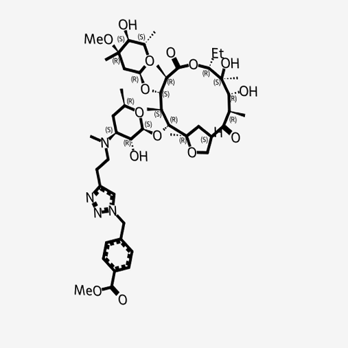 CC[C@H]1OC(=O)[C@H](C)[C@@H](O[C@H]2C[C@@](C)(OC)[C@@H](O)[C@H](C)O2)[C@H](C)[C@@H](O[C@@H]2O[C@H](C)C[C@H](N(C)CCc3cn(Cc4ccc(C(=O)OC)cc4)nn3)[C@H]2O)[C@@]2(C)C[C@@H](CO2)C(=O)[C@H](C)[C@@H](O)[C@]1(C)O